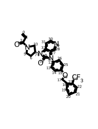 C=CC(=O)N1CC[C@@H](n2c(=O)n(-c3ccc(OCc4ccccc4C(F)(F)F)cc3)c3cnccc32)C1